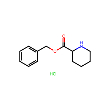 Cl.O=C(OCc1ccccc1)C1CCCCN1